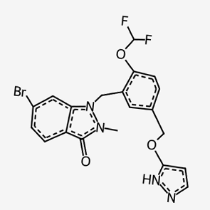 Cn1c(=O)c2ccc(Br)cc2n1Cc1cc(COc2ccn[nH]2)ccc1OC(F)F